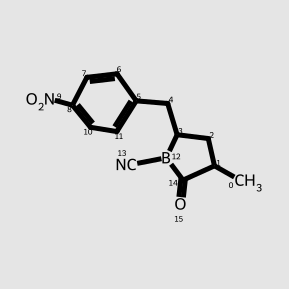 CC1CC(Cc2ccc([N+](=O)[O-])cc2)B(C#N)C1=O